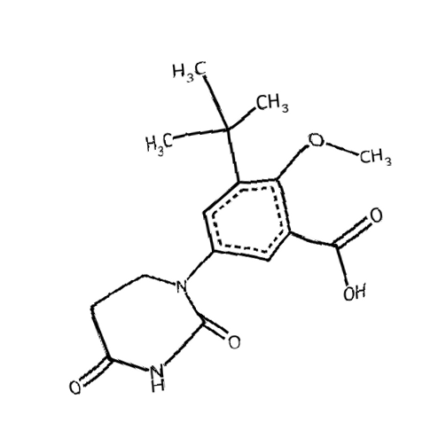 COc1c(C(=O)O)cc(N2CCC(=O)NC2=O)cc1C(C)(C)C